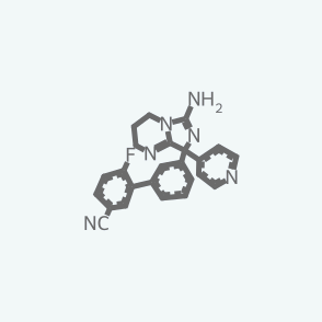 N#Cc1ccc(F)c(-c2cccc(C3(c4ccncc4)N=C(N)N4CCCN=C43)c2)c1